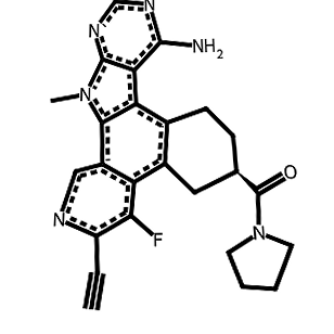 C#Cc1ncc2c(c1F)c1c(c3c4c(N)ncnc4n(C)c23)CC[C@@H](C(=O)N2CCCC2)C1